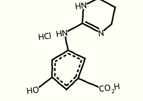 Cl.O=C(O)c1cc(O)cc(NC2=NCCCN2)c1